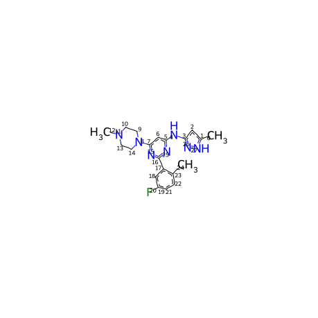 Cc1cc(Nc2cc(N3CCN(C)CC3)nc(-c3cc(F)ccc3C)n2)n[nH]1